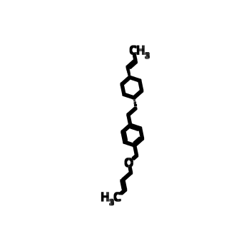 CC=CCOCc1ccc(CC[C@H]2CC[C@H](C=CC)CC2)cc1